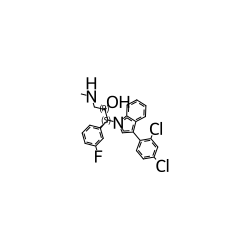 CNC[C@@H](O)[C@H](c1cccc(F)c1)n1cc(-c2ccc(Cl)cc2Cl)c2ccccc21